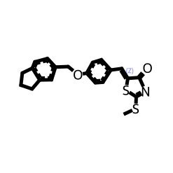 CSC1=NC(=O)/C(=C/c2ccc(OCc3ccc4c(c3)CCC4)cc2)S1